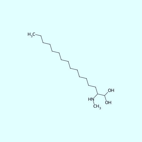 CCCCCCCCCCCCCCC(NC)C(O)O